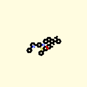 Cc1ccccc1-c1c(C)c(C2=C(C(C)C)CCC=C2)cc2ccc3ccc(N(c4ccc(-c5cccc(-c6ccccc6)n5)cc4)c4cccc5c4sc4ccccc45)cc3c12